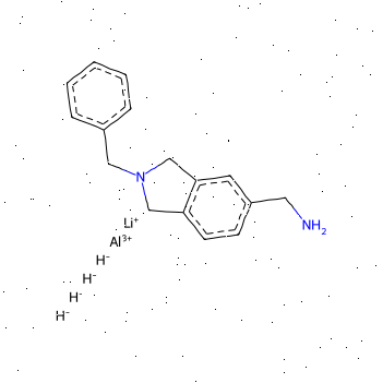 NCc1ccc2c(c1)CN(Cc1ccccc1)C2.[Al+3].[H-].[H-].[H-].[H-].[Li+]